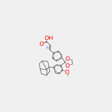 COc1ccc(C23CC4CC(CC(C4)C2)C3)cc1C1(c2ccc(/C=C/C(=O)O)cc2)OCCO1